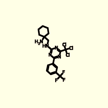 NC1(CNc2nc(-c3cccc(C(F)(F)F)c3)nc(C(Cl)(Cl)Cl)n2)CCCCC1